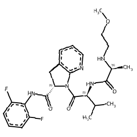 COCCN[C@@H](C)C(=O)N[C@H](C(=O)N1c2ncccc2C[C@H]1C(=O)Nc1c(F)cccc1F)C(C)C